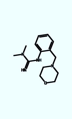 CN(C)C(=N)Nc1ccccc1CN1CCOCC1